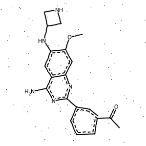 COc1cc2nc(-c3cccc(C(C)=O)c3)nc(N)c2cc1NC1CNC1